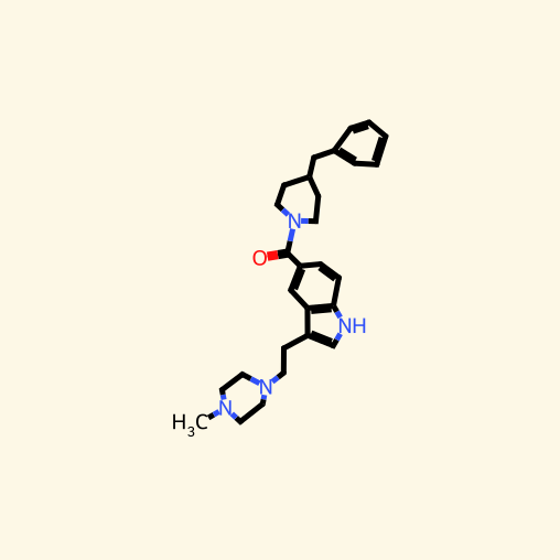 CN1CCN(CCc2c[nH]c3ccc(C(=O)N4CCC(Cc5ccccc5)CC4)cc23)CC1